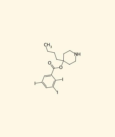 CCCCC1(OC(=O)c2cc(I)cc(I)c2I)CCNCC1